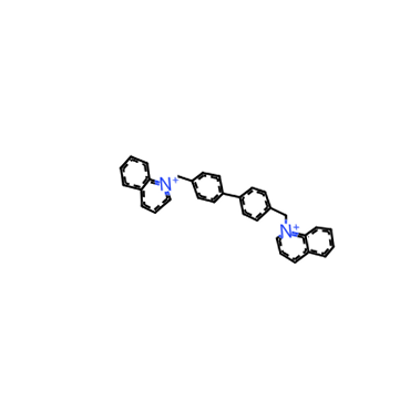 c1ccc2c(c1)ccc[n+]2Cc1ccc(-c2ccc(C[n+]3cccc4ccccc43)cc2)cc1